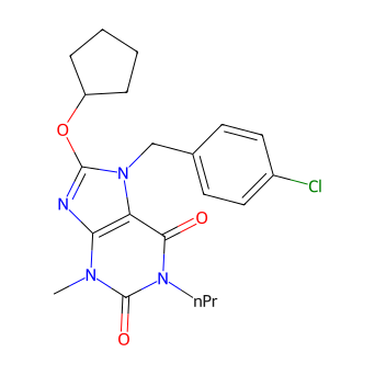 CCCn1c(=O)c2c(nc(OC3CCCC3)n2Cc2ccc(Cl)cc2)n(C)c1=O